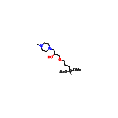 CO[Si](C)(CCCOCC(O)CN1CCN(C)CC1)OC